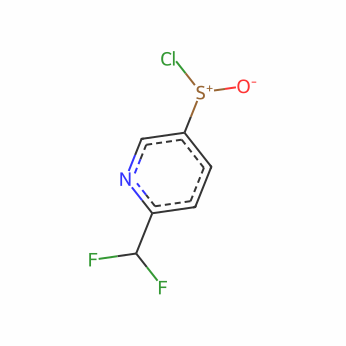 [O-][S+](Cl)c1ccc(C(F)F)nc1